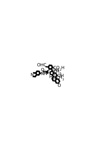 C[C@@H]1C[C@H]2[C@@H]3CCC4=CC(=O)C=C[C@]4(C)[C@@]3(F)[C@@H](O)C[C@]2(C)[C@@]1(O)c1c(C(=O)O)ccc(CC=O)c1[C@@H]1C[C@H]1C(=O)Nc1ccc2cnccc2c1